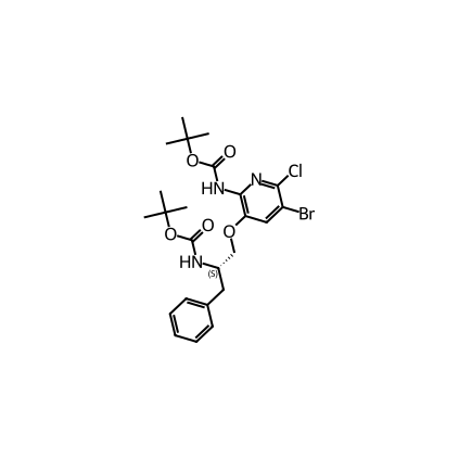 CC(C)(C)OC(=O)Nc1nc(Cl)c(Br)cc1OC[C@H](Cc1ccccc1)NC(=O)OC(C)(C)C